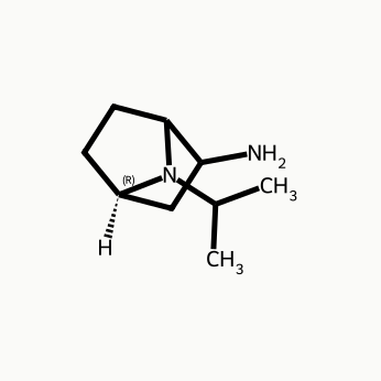 CC(C)N1C2CC[C@@H]1CC2N